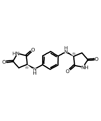 O=C1C[C@H](Nc2ccc(N[C@H]3CC(=O)NC3=O)cc2)C(=O)N1